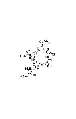 NCCC(O)C(N)CC(=O)NC1CNC(=O)[C@@H](C2CCN=C(N)N2)NC(=O)/C(=C/NC(N)=O)NC(=O)C(CO)NC(=O)C(CO)NC1=O